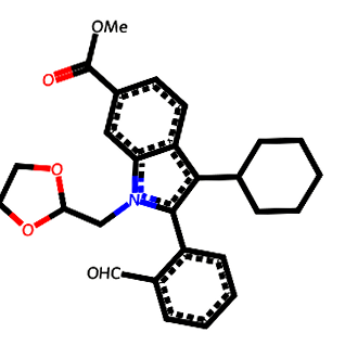 COC(=O)c1ccc2c(C3CCCCC3)c(-c3ccccc3C=O)n(CC3OCCO3)c2c1